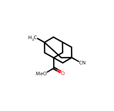 COC(=O)C12CC3CC(C)(CC(C#N)(C3)C1)C2